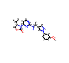 COc1cccc(-n2cc([C@H](C)Nc3nccc(N4C(=O)OCC4C(C)C)n3)cn2)c1